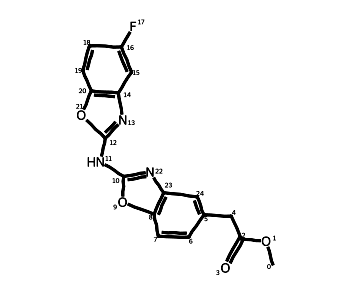 COC(=O)Cc1ccc2oc(Nc3nc4cc(F)ccc4o3)nc2c1